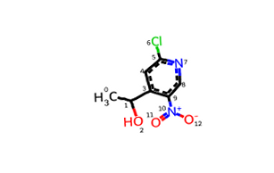 CC(O)c1cc(Cl)ncc1[N+](=O)[O-]